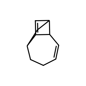 C1=CC2C3=CC2CC3CC1